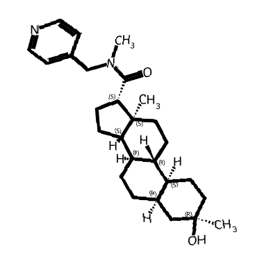 CN(Cc1ccncc1)C(=O)[C@H]1CC[C@H]2[C@@H]3CC[C@@H]4C[C@](C)(O)CC[C@@H]4[C@H]3CC[C@]12C